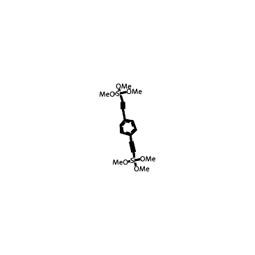 CO[Si](C#Cc1ccc(C#C[Si](OC)(OC)OC)cc1)(OC)OC